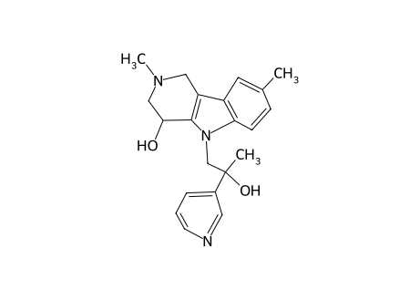 Cc1ccc2c(c1)c1c(n2CC(C)(O)c2cccnc2)C(O)CN(C)C1